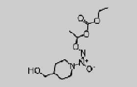 CCOC(=O)OC(C)O/N=[N+](/[O-])N1CCC(CO)CC1